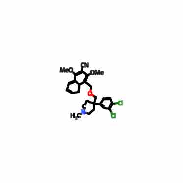 COc1c(C#N)c(OC)c2ccccc2c1COCC1(c2ccc(Cl)c(Cl)c2)CCN(C)CC1